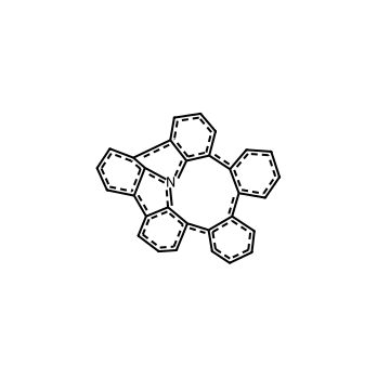 c1ccc2c(c1)c1ccccc1c1cccc3c4cccc5c6cccc2c6n(c13)c54